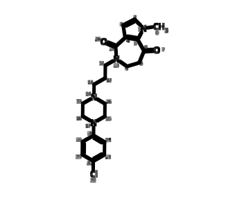 Cn1ccc2c1C(=O)CCN(CCCN1CCN(c3ccc(Cl)cc3)CC1)C2=O